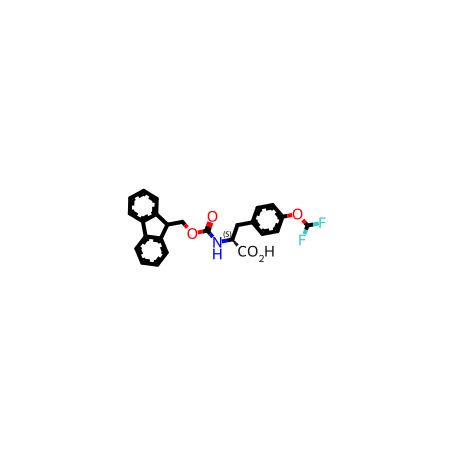 O=C(N[C@@H](Cc1ccc(OC(F)F)cc1)C(=O)O)OCC1c2ccccc2-c2ccccc21